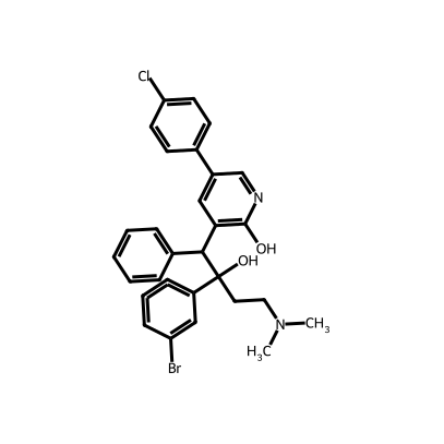 CN(C)CCC(O)(C1=C=C=CC(Br)=C1)C(c1ccccc1)c1cc(-c2ccc(Cl)cc2)cnc1O